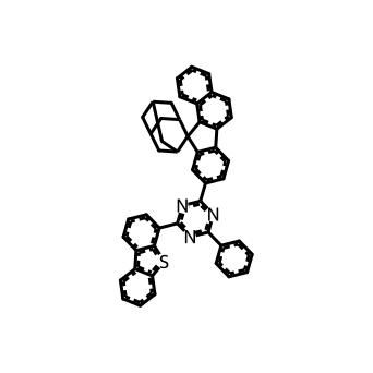 c1ccc(-c2nc(-c3ccc4c(c3)C3(c5c-4ccc4ccccc54)C4CC5CC(C4)CC3C5)nc(-c3cccc4c3sc3ccccc34)n2)cc1